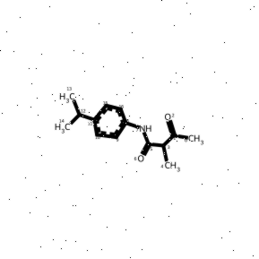 CC(=O)C(C)C(=O)Nc1ccc(C(C)C)cc1